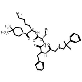 CC(C)C[C@@H](NC(=O)C(Cc1ccccc1)NC(=O)CNCC(C)(C)c1ccccc1)C(=O)N[C@H](CCCCN)C(=O)N1CCC(N)(C(=O)O)CC1